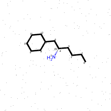 CCCC[C@H](N)CC1CCCCC1